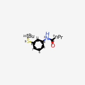 CCCC(=O)Nc1cccc(SC(C)(C)C)c1